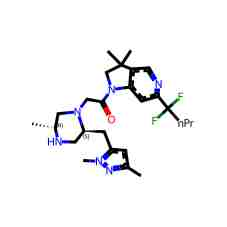 CCCC(F)(F)c1cc2c(cn1)C(C)(C)CN2C(=O)CN1C[C@@H](C)NC[C@@H]1Cc1cc(C)nn1C